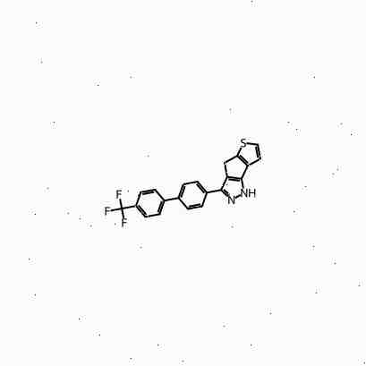 FC(F)(F)c1ccc(-c2ccc(-c3n[nH]c4c3Cc3sccc3-4)cc2)cc1